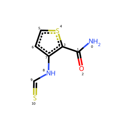 NC(=O)c1sccc1NC=S